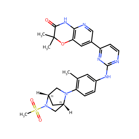 Cc1cc(Nc2nccc(-c3cnc4c(c3)OC(C)(C)C(=O)N4)n2)ccc1N1C[C@@H]2C[C@H]1CN2S(C)(=O)=O